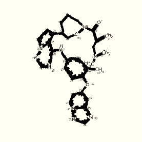 C=C(CN(C)C)C(=O)N1CCCC(c2ccn3ncnc(Nc4ccc(Oc5ccn6ncnc6c5)c(C)c4)c23)CC1